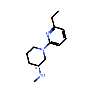 CCc1cccc(N2CCC[C@H](NC)C2)n1